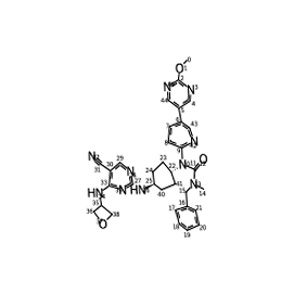 COc1ncc(-c2ccc(N(C(=O)N(C)Cc3ccccc3)[C@H]3CC[C@H](Nc4ncc(C#N)c(NC5COC5)n4)CC3)nc2)cn1